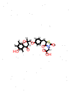 Cc1c(C)c2c(c(C)c1O)C(=O)CC(C)(COc1ccc(CC3SC(=O)N(CC(=O)O)C3=O)cc1)O2